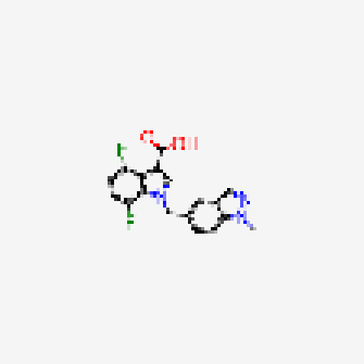 Cn1ncc2cc(Cn3cc(C(=O)O)c4c(F)ccc(F)c43)ccc21